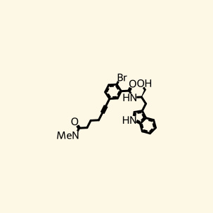 CNC(=O)CCCC#Cc1ccc(Br)c(C(=O)N[C@@H](CO)Cc2c[nH]c3ccccc23)c1